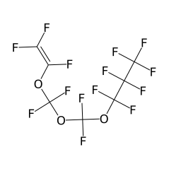 FC(F)=C(F)OC(F)(F)OC(F)(F)OC(F)(F)C(F)(F)C(F)(F)F